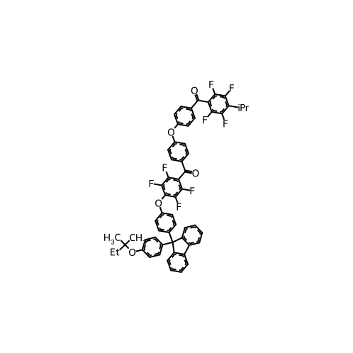 CCC(C)(C)Oc1ccc(C2(c3ccc(Oc4c(F)c(F)c(C(=O)c5ccc(Oc6ccc(C(=O)c7c(F)c(F)c(C(C)C)c(F)c7F)cc6)cc5)c(F)c4F)cc3)c3ccccc3-c3ccccc32)cc1